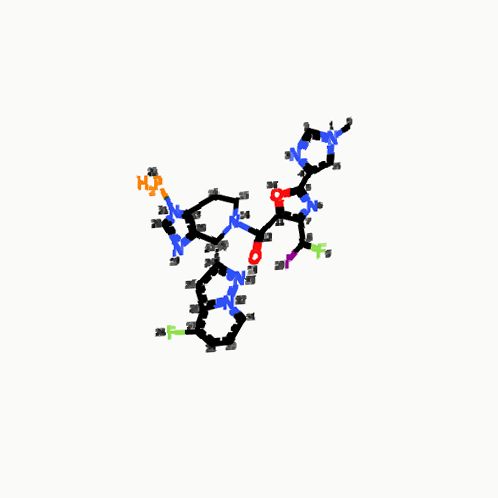 Cn1cnc(-c2nc(C(F)I)c(C(=O)N3CCc4c(ncn4P)[C@H]3c3cc4c(F)cccn4n3)o2)c1